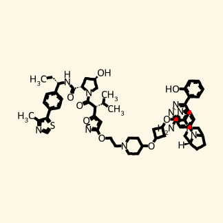 CC[C@H](NC(=O)[C@@H]1C[C@@H](O)CN1C(=O)[C@@H](c1cc(OCCN2CCC(OC3CC(Oc4cc(N5C6CC[C@@H]5CN(c5cc(-c7ccccc7O)nnc5N)C6)ccn4)C3)CC2)no1)C(C)C)c1ccc(-c2scnc2C)cc1